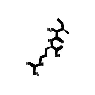 CC[C@H](C)[C@H](N)C(=O)N[C@@H](CCCNC(=N)N)C(=O)O